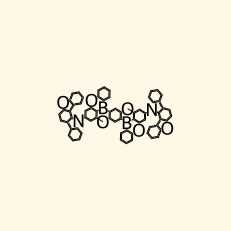 c1ccc2c(c1)Oc1cc(-n3c4ccccc4c4ccc5oc6ccccc6c5c43)cc3c1B2c1cc2c(cc1O3)B1c3ccccc3Oc3cc(-n4c5ccccc5c5ccc6oc7ccccc7c6c54)cc(c31)O2